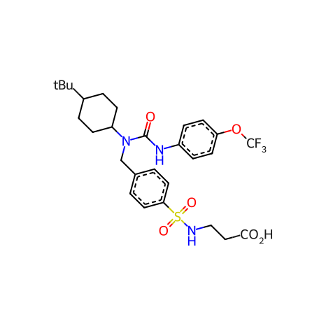 CC(C)(C)C1CCC(N(Cc2ccc(S(=O)(=O)NCCC(=O)O)cc2)C(=O)Nc2ccc(OC(F)(F)F)cc2)CC1